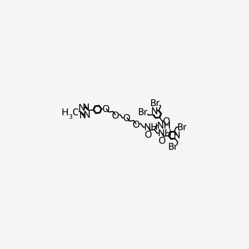 Cc1nnc(-c2ccc(OCCOCCOCCOCCNC(=O)C(CNC(=O)c3cc(CBr)nc(CBr)c3)CNC(=O)c3cc(CBr)nc(CBr)c3)cc2)nn1